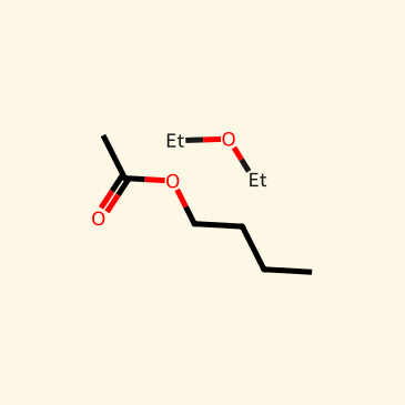 CCCCOC(C)=O.CCOCC